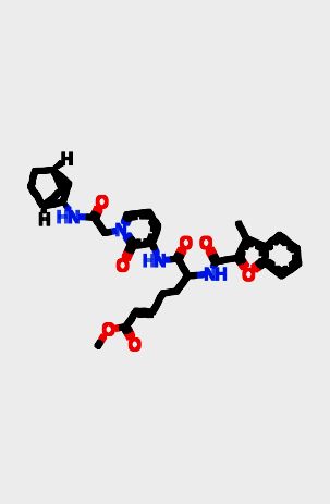 COC(=O)/C=C/CCC(NC(=O)c1oc2ccccc2c1C)C(=O)Nc1cccn(CC(=O)N[C@@H]2C[C@H]3CC[C@@H]2C3)c1=O